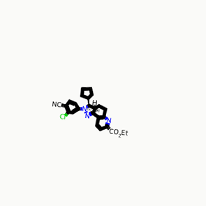 CCOC(=O)c1ccc2c(n1)CC[C@H]1C2=NN(c2ccc(C#N)c(Cl)c2)[C@H]1C1CCCC1